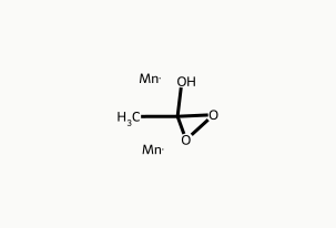 CC1(O)OO1.[Mn].[Mn]